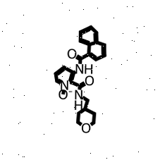 O=C(Nc1ccc[n+]([O-])c1C(=O)NCC1CCOCC1)c1cccc2ccccc12